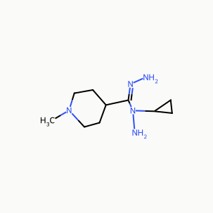 CN1CCC(/C(=N/N)N(N)C2CC2)CC1